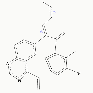 C=Cc1ncnc2ccc(/C(=C/C=C\C)C(=C)c3cccc(F)c3C)cc12